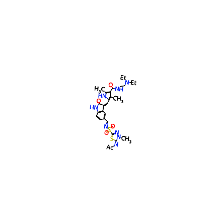 CCN(CC)CCNC(=O)c1c(C)[nH]c(/C=C2\C(=O)Nc3ccc(/C=N/S(=O)(=O)c4nn(C)/c(=N/C(C)=O)s4)cc32)c1C